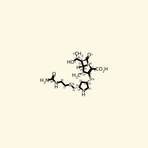 C[C@@H](O)[C@H]1C(=O)N2C(C(=O)O)=C(S[C@@H]3CN[C@H](CSCCNC(N)=O)C3)[C@H](C)[C@H]12